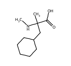 CNC(C)(CC1CCCCC1)C(=O)O